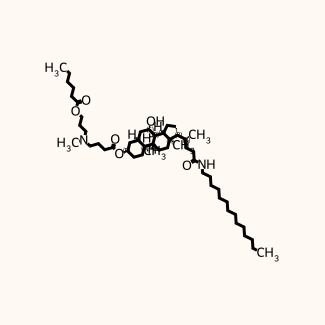 CCCCCCCCCCCCCCNC(=O)CC[C@@H](C)[C@H]1CC[C@H]2[C@@H]3[C@@H](O)C[C@@H]4C[C@H](OC(=O)CCCN(C)CCCOC(=O)CCCCC)CC[C@]4(C)[C@H]3CC[C@]12C